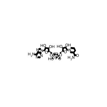 NC(=O)C1=CN([C@@H]2O[C@H](COP(=O)(O)OP(=O)(O)OC[C@H]3O[C@@H](n4cnc5c(N)ncnc54)[C@@H](O)[C@H]3O)[C@H](O)[C@@H]2O)C=CC1